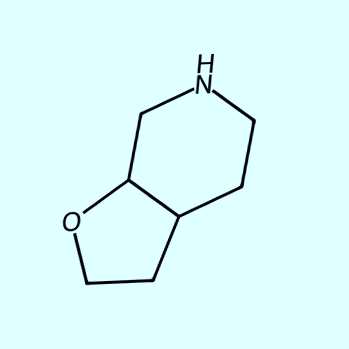 C1CC2CCOC2CN1